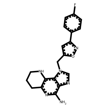 Nc1nc2c(c3c1ncn3Cc1cc(-c3ccc(F)cc3)no1)NCCC2